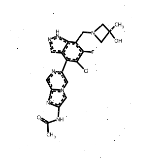 CC(=O)Nc1cn2cc(-c3c(Cl)c(F)c(CN4CC(C)(O)C4)c4[nH]ncc34)ncc2n1